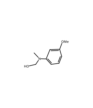 COc1cccc(N(C)CO)c1